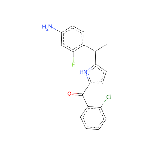 CC(c1ccc(C(=O)c2ccccc2Cl)[nH]1)c1ccc(N)cc1F